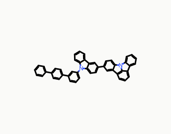 c1ccc(-c2ccc(-c3cccc(-n4c5ccccc5c5cc(-c6ccc7c(c6)c6cccc8c9ccccc9n7c86)ccc54)c3)cc2)cc1